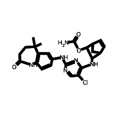 CC1(C)CCC(=O)Nc2ccc(Nc3ncc(Cl)c(NC4C5C=CC(C5)C4OC(N)=O)n3)cc21